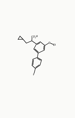 CCOc1cc(-c2ccc(F)cc2)cc(C(CC2CC2)C(=O)O)c1